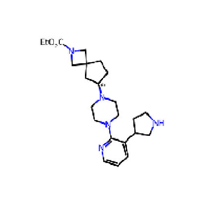 CCOC(=O)N1CC2(CC[C@@H](N3CCN(c4ncccc4C4CCNC4)CC3)C2)C1